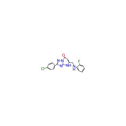 O=c1cc(CNc2ccccc2F)[nH]c2nc(-c3ccc(Cl)cc3)nn12